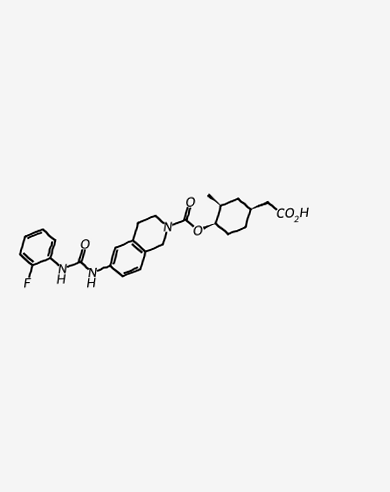 C[C@H]1C[C@@H](CC(=O)O)CC[C@H]1OC(=O)N1CCc2cc(NC(=O)Nc3ccccc3F)ccc2C1